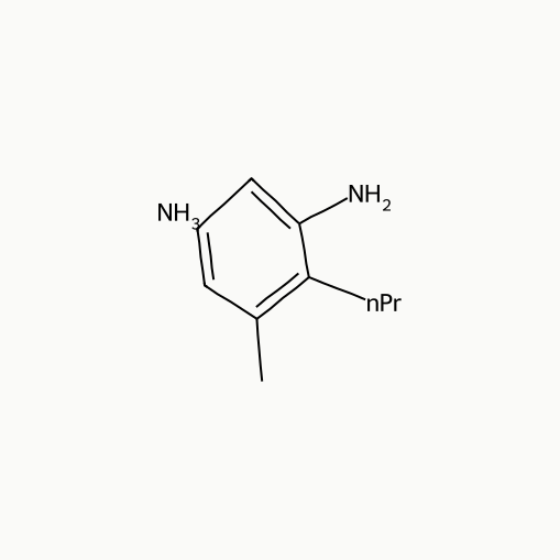 CCCc1c(C)cccc1N.N